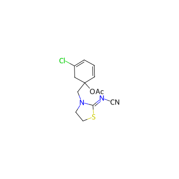 CC(=O)OC1(CN2CCSC2=NC#N)C=CC=C(Cl)C1